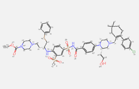 CC1(C)CCC(c2ccc(Cl)cc2)=C(CN2CCN(c3ccc(C(=O)NS(=O)(=O)c4ccc(N[C@H](CCN5CCN(C(=O)OC(C)(C)C)CC5)CSc5ccccc5)c(S(=O)(=O)C(F)(F)F)c4)cc3)[C@@H](CCO)C2)C1